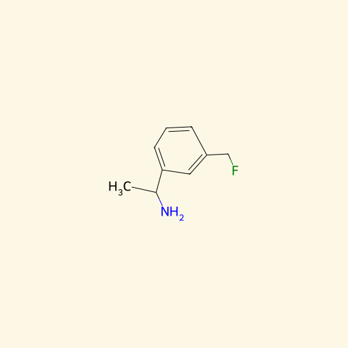 CC(N)c1cccc(CF)c1